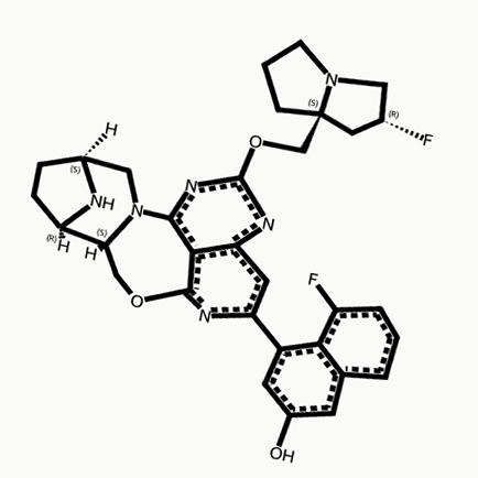 Oc1cc(-c2cc3nc(OC[C@@]45CCCN4C[C@H](F)C5)nc4c3c(n2)OC[C@@H]2[C@H]3CC[C@@H](CN42)N3)c2c(F)cccc2c1